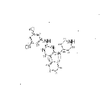 Clc1cc(Cl)cc(Nc2ncc(-c3ccccc3)c(NC3CCNCC3)n2)c1